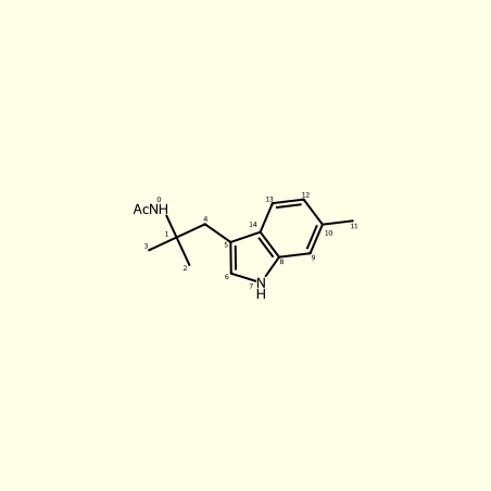 CC(=O)NC(C)(C)Cc1c[nH]c2cc(C)ccc12